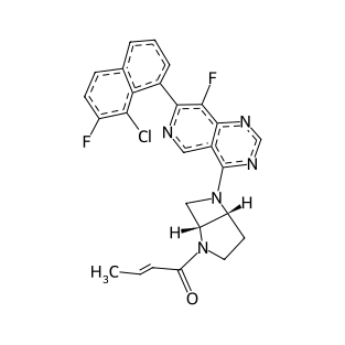 C/C=C/C(=O)N1CC[C@@H]2[C@H]1CN2c1ncnc2c(F)c(-c3cccc4ccc(F)c(Cl)c34)ncc12